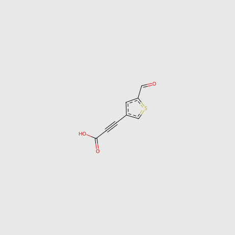 O=Cc1cc(C#CC(=O)O)cs1